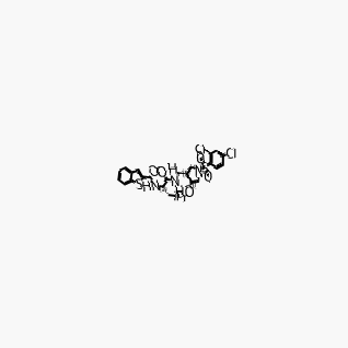 CC(C)C[C@H](NC(=O)c1cc2ccccc2s1)C(=O)NC[C@H]1CN(S(=O)(=O)c2ccc(Cl)cc2Cl)C[C@H]1O